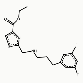 CCOC(=O)c1csc(CNCCCc2cc(F)cc(F)c2)n1